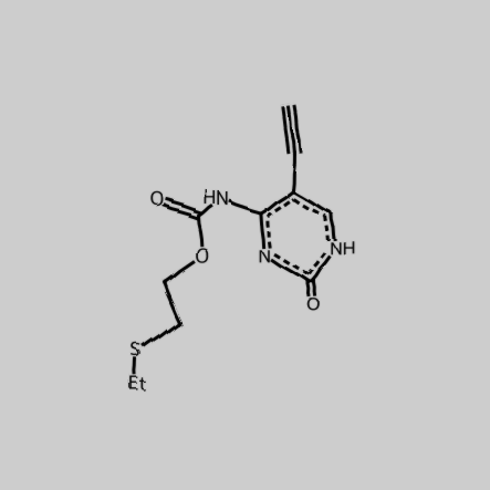 C#Cc1c[nH]c(=O)nc1NC(=O)OCCSCC